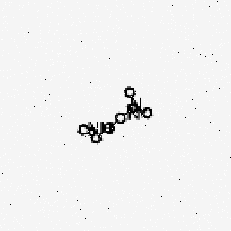 c1ccc(-c2cc(-c3ccc(-c4ccc(-c5cccc6c5[nH]c5ccccc56)cc4)cc3)nc(-c3ccccc3)n2)cc1